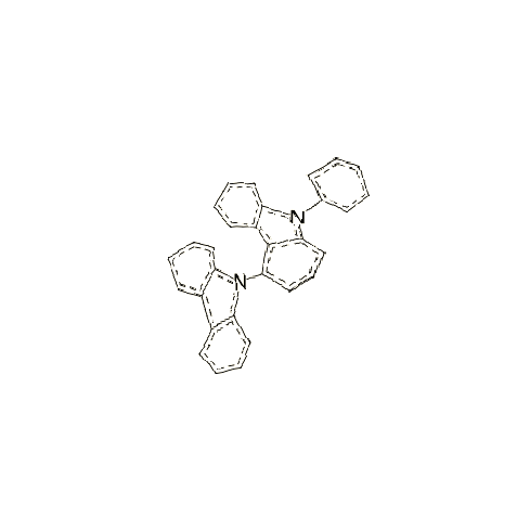 c1ccc(-n2c3ccccc3c3c(-n4c5ccccc5c5ccccc54)cccc32)cc1